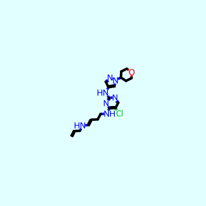 C=CCN/C=C/CCNc1nc(Nc2cnn(C3CCOCC3)c2)ncc1Cl